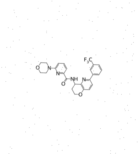 O=C(NC1CCOc2ccc(-c3cccc(C(F)(F)F)c3)nc21)c1cccc(N2CCOCC2)n1